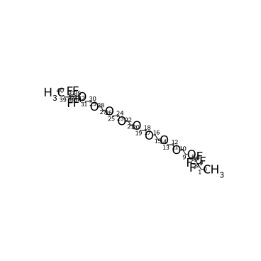 CCC(F)(F)C(F)(F)OCCOCCOCCOCCOCCOCCOCCOCCOC(F)(F)C(F)(F)CC